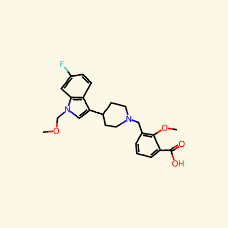 COCn1cc(C2CCN(Cc3cccc(C(=O)O)c3OC)CC2)c2ccc(F)cc21